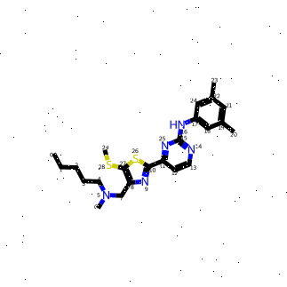 CCCCCN(C)Cc1nc(-c2ccnc(Nc3cc(C)cc(C)c3)n2)sc1SC